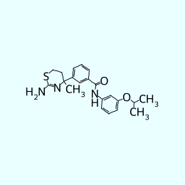 CC(C)Oc1cccc(NC(=O)c2cccc(C3(C)CCSC(N)=N3)c2)c1